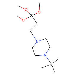 CO[Si](CCN1CCN([Si](C)(C)C)CC1)(OC)OC